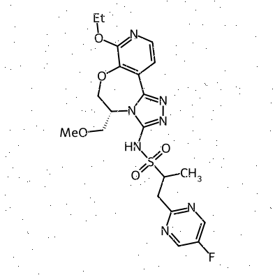 CCOc1nccc2c1OC[C@@H](COC)n1c(NS(=O)(=O)C(C)Cc3ncc(F)cn3)nnc1-2